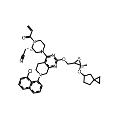 C=CC(=O)N1CCN(c2nc(OCC3S[C@]3(C)OC3CCC4(CC4)C3)nc3c2CCN(c2cccc4cccc(Cl)c24)C3)C[C@@H]1CC#N